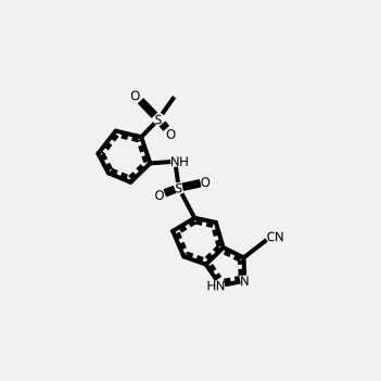 CS(=O)(=O)c1ccccc1NS(=O)(=O)c1ccc2[nH]nc(C#N)c2c1